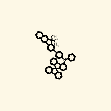 CC1(C)c2cc(-c3ccc(N(c4ccccc4)c4cccc5c4-c4ccccc4C54c5ccccc5-c5ccccc54)cc3)ccc2-c2cc3ccccc3cc21